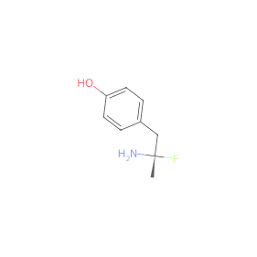 C[C@](N)(F)Cc1ccc(O)cc1